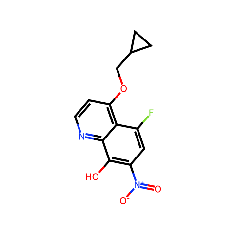 O=[N+]([O-])c1cc(F)c2c(OCC3CC3)ccnc2c1O